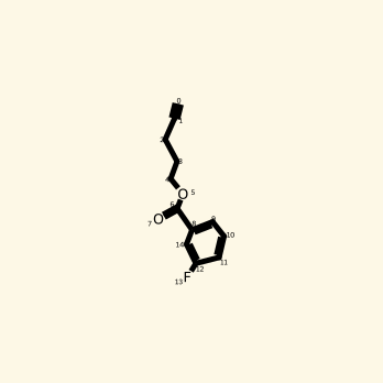 C#CCCCOC(=O)c1cccc(F)c1